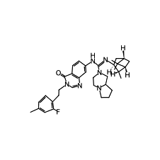 Cc1ccc(CCn2cnc3cc(N/C(=N/[C@H]4C[C@@H]5C[C@H]([C@@H]4C)C5(C)C)N4CCN5CCCC5C4)ccc3c2=O)c(F)c1